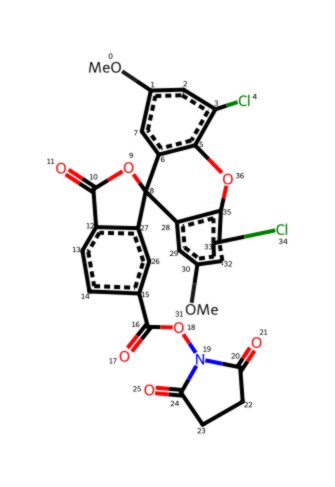 COc1[c]c(Cl)c2c(c1)C1(OC(=O)c3ccc(C(=O)ON4C(=O)CCC4=O)cc31)c1cc(OC)[c]c(Cl)c1O2